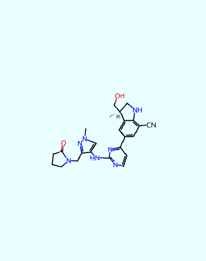 Cn1cc(Nc2nccc(-c3cc(C#N)c4c(c3)[C@@](C)(CO)CN4)n2)c(CN2CCCC2=O)n1